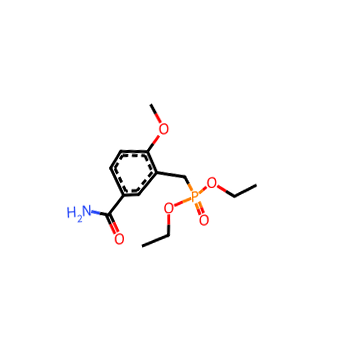 CCOP(=O)(Cc1cc(C(N)=O)ccc1OC)OCC